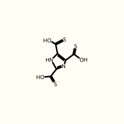 OC(=S)c1nc(C(O)=S)c(C(O)=S)[nH]1